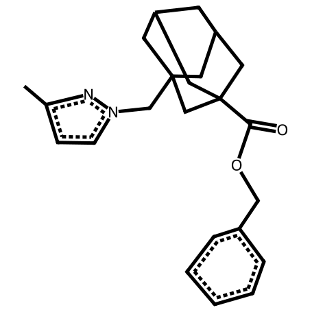 Cc1ccn(CC23CC4CC(C2)CC(C(=O)OCc2ccccc2)(C4)C3)n1